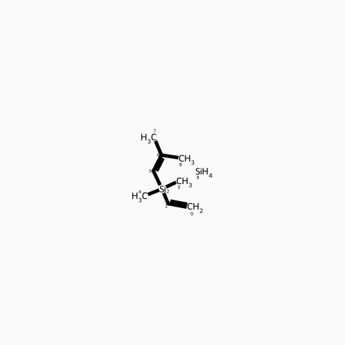 C=C[Si](C)(C)C=C(C)C.[SiH4]